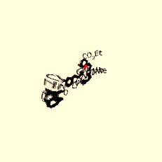 CCOC(=O)C1CCC(OC(C(=O)Cc2cc(Cl)c(NC(=O)c3coc4ccccc34)cc2Cl)(N2CCCC2)N2CCCC2(OC)OC)CC1